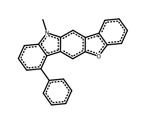 Cn1c2cc3c(cc2c2c(-c4ccccc4)cccc21)oc1ccccc13